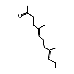 CC/C=C(\C)CC/C=C(\C)CCC(C)=O